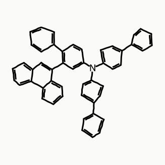 c1ccc(-c2ccc(N(c3ccc(-c4ccccc4)cc3)c3ccc(-c4ccccc4)c(-c4cc5ccccc5c5ccccc45)c3)cc2)cc1